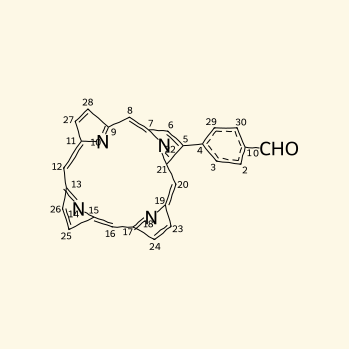 O=Cc1ccc(C2=CC3=CC4=NC(=CC5=NC(=CC6=NC(=CC2=N3)C=C6)C=C5)C=C4)cc1